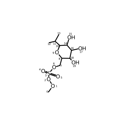 COOS(=O)(=O)OCC1OC(C(C)C)C(O)C(O)C1O